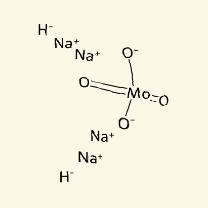 [H-].[H-].[Na+].[Na+].[Na+].[Na+].[O]=[Mo](=[O])([O-])[O-]